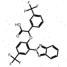 O=C(O)C(Oc1ccc(C(F)(F)F)cc1-n1nc2ccccc2n1)c1cccc(C(F)(F)F)c1